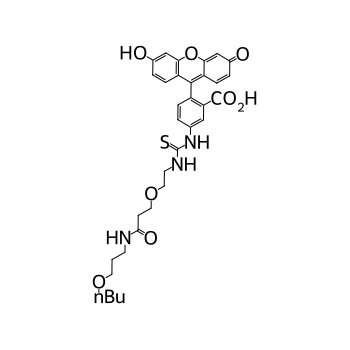 CCCCOCCCNC(=O)CCOCCNC(=S)Nc1ccc(-c2c3ccc(=O)cc-3oc3cc(O)ccc23)c(C(=O)O)c1